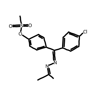 CC(C)=NN=C(c1ccc(Cl)cc1)c1ccc(OS(C)(=O)=O)cc1